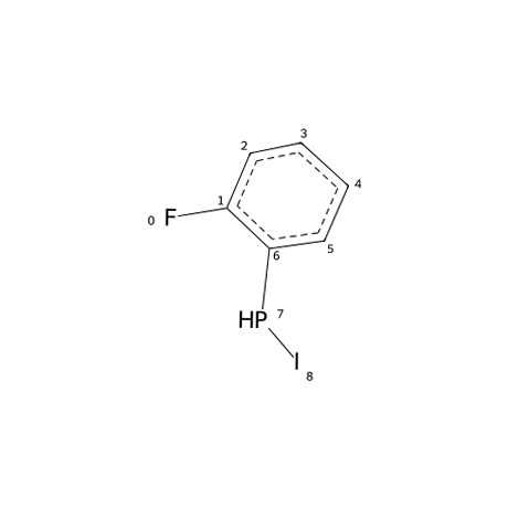 Fc1ccccc1PI